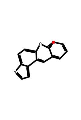 C1=CN2C=CC=C3C=c4c(ccc5c4=CC=N5)OC32C=C1